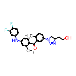 Cc1cc(Nc2ccc(F)c(F)c2)ccc1C(=O)c1cc(N2CC(CCO)N=N2)ccc1C